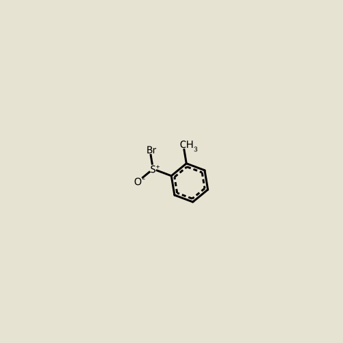 Cc1ccccc1[S+]([O-])Br